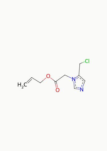 C=CCOC(=O)Cn1cncc1CCl